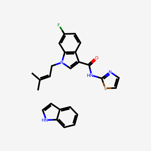 CC(C)=CCn1cc(C(=O)Nc2nccs2)c2ccc(F)cc21.c1ccc2[nH]ccc2c1